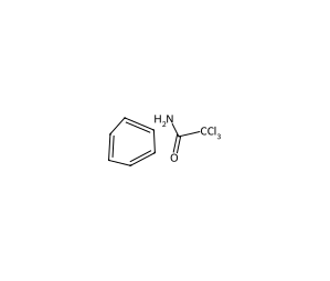 NC(=O)C(Cl)(Cl)Cl.c1ccccc1